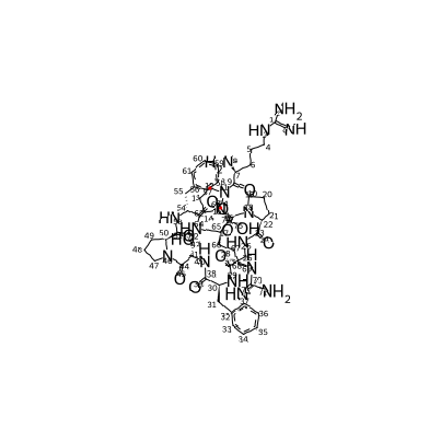 N=C(N)NCCC[C@H](N)C(=O)N1CCCN1C(=O)N1CCC[C@H]1C(=O)NCC(=O)N[C@@H](Cc1ccccc1)C(=O)N[C@@H](CO)C(=O)N1CCC[C@H]1C(=O)N[C@H](Cc1ccccc1)C(=O)N[C@H](CCCNC(=N)N)C(=O)O